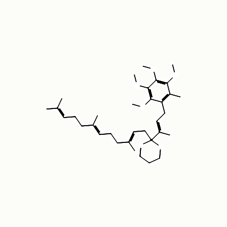 COc1c(C)c(C/C=C(\C)C2(C/C=C(\C)CC/C=C(\C)CCC=C(C)C)SCCCS2)c(OC)c(OC)c1OC